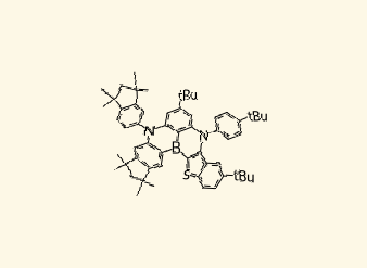 CC(C)(C)c1ccc(N2c3cc(C(C)(C)C)cc4c3B(c3cc5c(cc3N4c3ccc4c(c3)C(C)(C)CC4(C)C)C(C)(C)CC5(C)C)c3sc4ccc(C(C)(C)C)cc4c32)cc1